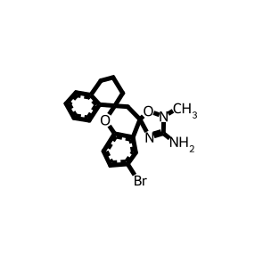 CN1OC2(CC3(CCCc4ccccc43)Oc3ccc(Br)cc32)N=C1N